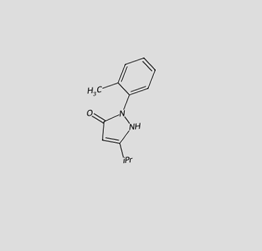 Cc1ccccc1-n1[nH]c(C(C)C)cc1=O